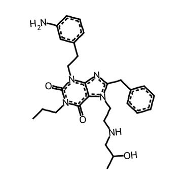 CCCn1c(=O)c2c(nc(Cc3ccccc3)n2CCNCC(C)O)n(CCc2cccc(N)c2)c1=O